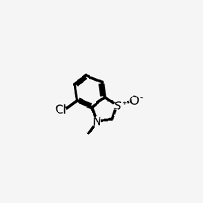 CN1C[S+]([O-])c2cccc(Cl)c21